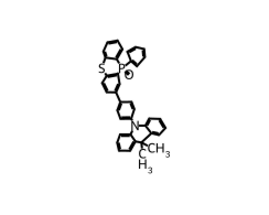 CC1(C)c2ccccc2N(c2ccc(-c3ccc4c(c3)P(=O)(c3ccccc3)c3ccccc3S4)cc2)c2ccccc21